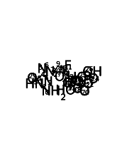 Nc1nc2c(ncn2[C@H]2C[C@H](F)[C@@H](COP(=O)(O)OP(=O)(O)OP(=O)(O)O)O2)c(=O)[nH]1